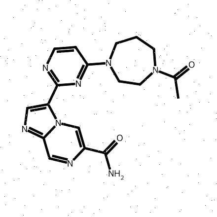 CC(=O)N1CCCN(c2ccnc(-c3cnc4cnc(C(N)=O)cn34)n2)CC1